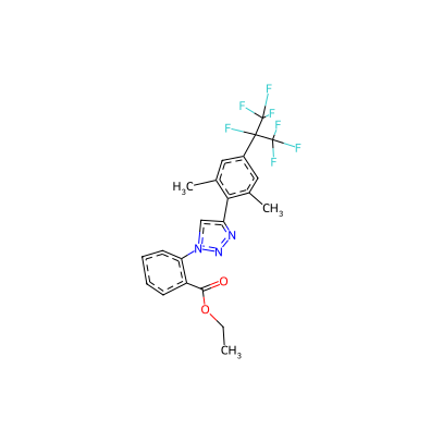 CCOC(=O)c1ccccc1-n1cc(-c2c(C)cc(C(F)(C(F)(F)F)C(F)(F)F)cc2C)nn1